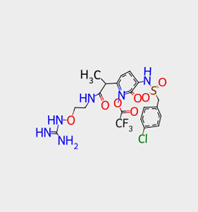 CC(C(=O)NCCONC(=N)N)c1ccc(NS(=O)(=O)Cc2ccc(Cl)cc2)c(=O)n1OC(=O)C(F)(F)F